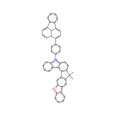 CC1(C)c2cc3c(cc2-c2c1ccc1c2c2ccccc2n1-c1ccc(C2=CC=C4c5ccccc5C5=CC=CC2C54)cc1)oc1ccccc13